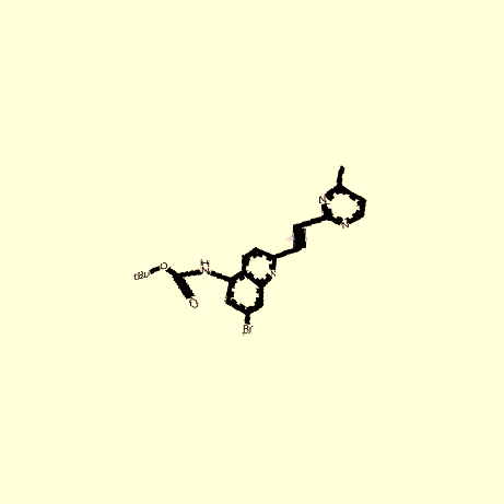 Cc1ccnc(/C=C/c2ccc3c(NC(=O)OC(C)(C)C)cc(Br)cc3n2)n1